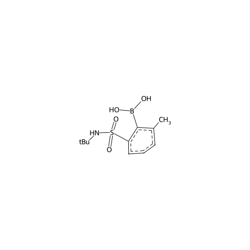 Cc1cccc(S(=O)(=O)NC(C)(C)C)c1B(O)O